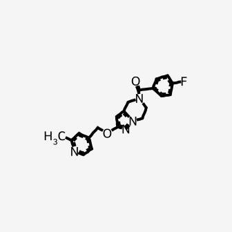 Cc1cc(COc2cc3n(n2)CCN(C(=O)c2ccc(F)cc2)C3)ccn1